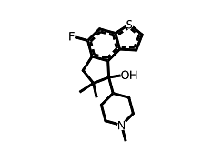 CN1CCC(C2(O)c3c(c(F)cc4sccc34)CC2(C)C)CC1